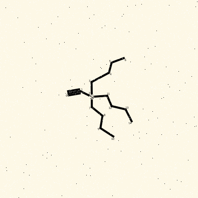 [C]#C[Si](CCCC)(CCCC)CCCC